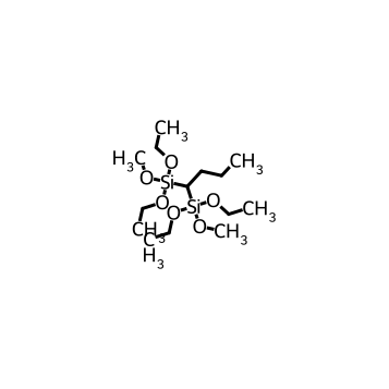 CCCC([Si](OC)(OCC)OCC)[Si](OC)(OCC)OCC